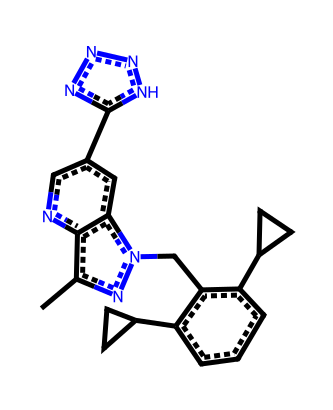 Cc1nn(Cc2c(C3CC3)cccc2C2CC2)c2cc(-c3nnn[nH]3)cnc12